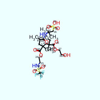 CCC(C)(CC(C)(CC(C)C(=O)NC(C)(C)CS(=O)(=O)O)C(=O)OCCNS(=O)(=O)C(F)(F)F)C(=O)OCCO